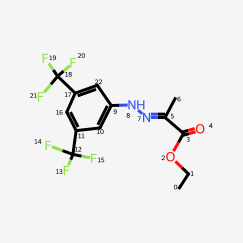 CCOC(=O)/C(C)=N/Nc1cc(C(F)(F)F)cc(C(F)(F)F)c1